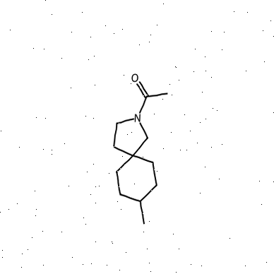 CC(=O)N1CCC2(CCC(C)CC2)C1